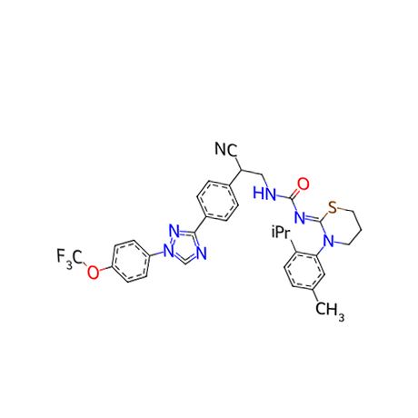 Cc1ccc(C(C)C)c(N2CCCS/C2=N\C(=O)NCC(C#N)c2ccc(-c3ncn(-c4ccc(OC(F)(F)F)cc4)n3)cc2)c1